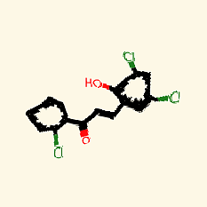 O=C(C=Cc1cc(Cl)cc(Cl)c1O)c1ccccc1Cl